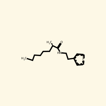 CCCCCC[C@@H](C)C(=O)NCCc1ccccc1